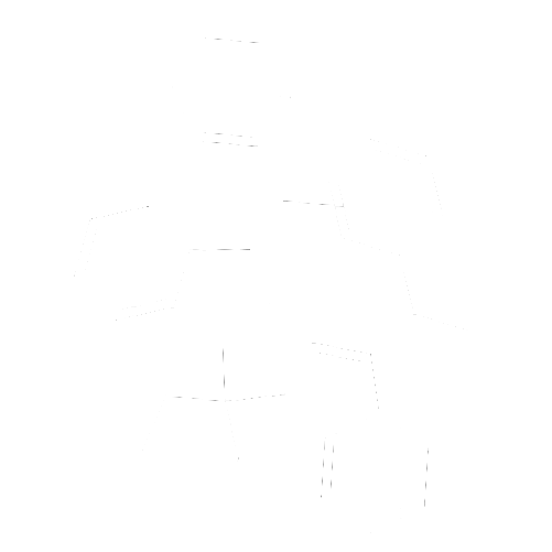 CC(C1=CC(C2(C3C=C(C(C)c4ccccc4)c4ccccc43)CCCC2)c2ccccc21)c1ccccc1